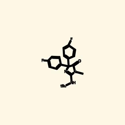 CN1C(=O)C(c2ccc(F)cc2)(c2ccc(F)cc2)N=C1NC(C)(C)C